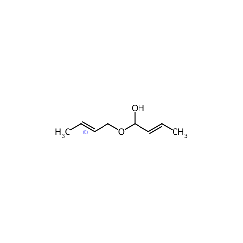 CC=CC(O)OC/C=C/C